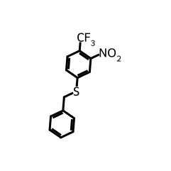 O=[N+]([O-])c1cc(SCc2ccccc2)ccc1C(F)(F)F